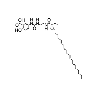 CCC=CCC=CCC=CCC=CCC=CCCCCOC(CC)C(=O)NCCNC(=O)Nc1ccc(O)c(C(=O)O)c1